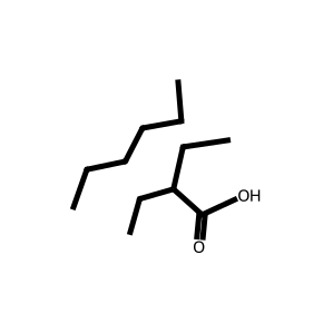 CCC(CC)C(=O)O.CCCCCC